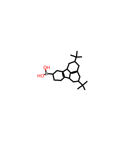 CC(C)(C)C1CC2=C3C(C1)C1=C(CC(B(O)O)CC1)C3CC(C(C)(C)C)C2